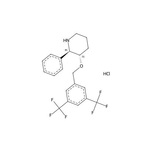 Cl.FC(F)(F)c1cc(CO[C@H]2CCCN[C@@H]2c2ccccc2)cc(C(F)(F)F)c1